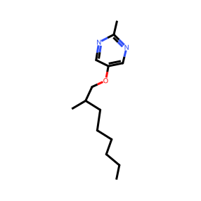 CCCCCCC(C)COc1cnc(C)nc1